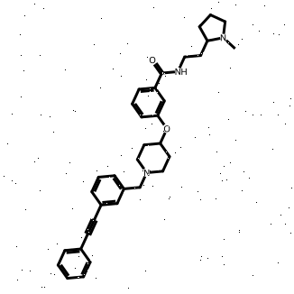 CN1CCCC1CCNC(=O)c1cccc(OC2CCN(Cc3cccc(C#Cc4ccccc4)c3)CC2)c1